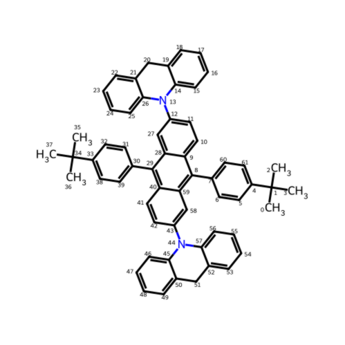 CC(C)(C)c1ccc(-c2c3ccc(N4c5ccccc5Cc5ccccc54)cc3c(-c3ccc(C(C)(C)C)cc3)c3ccc(N4c5ccccc5Cc5ccccc54)cc23)cc1